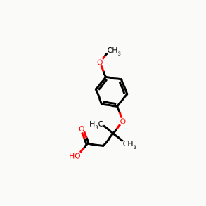 COc1ccc(OC(C)(C)CC(=O)O)cc1